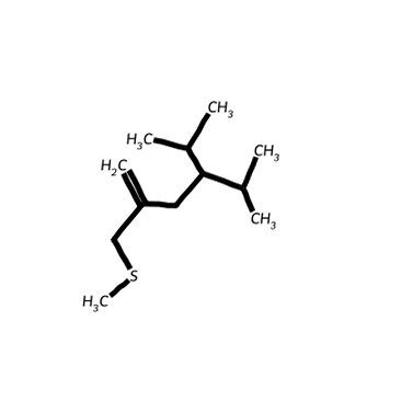 C=C(CSC)CC(C(C)C)C(C)C